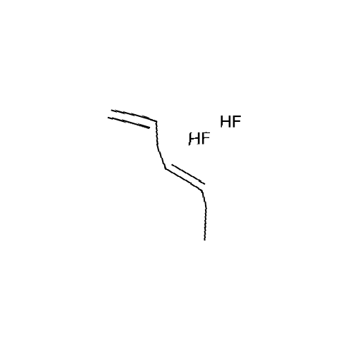 C=CC=CC.F.F